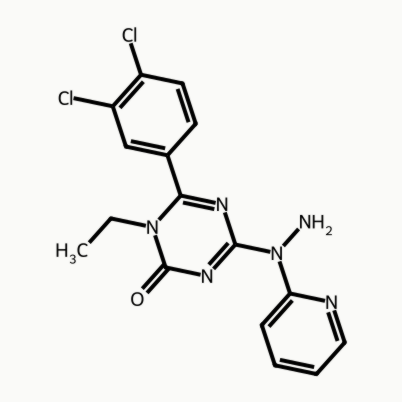 CCn1c(-c2ccc(Cl)c(Cl)c2)nc(N(N)c2ccccn2)nc1=O